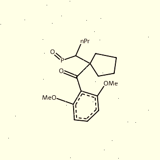 CCCC(P=O)C1(C(=O)c2c(OC)cccc2OC)CCCC1